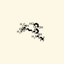 CN/C(=N/S(C)(=O)=O)NCCCSc1nccc(N/C(N)=N\CC(F)(F)F)n1.O=C(O)/C=C\C(=O)O